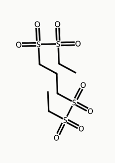 CCS(=O)(=O)S(=O)(=O)CCCS(=O)(=O)S(=O)(=O)CC